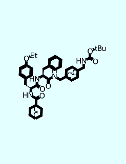 CCOc1ccc(C[C@@H](NC(=O)C23CCC(CC2)CC3)C(=O)N[C@@H](Cc2ccccc2)C(=O)NCC23CCC(CNC(=O)OC(C)(C)C)(CC2)CC3)cc1